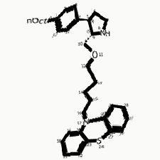 CCCCCCCCc1ccc([C@H]2CCN[C@@H]2COCCCCCN2c3ccccc3Sc3ccccc32)cc1